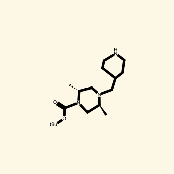 C[C@@H]1CN(CC2CCNCC2)[C@@H](C)CN1C(=O)OC(C)(C)C